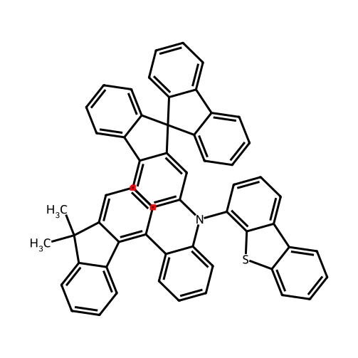 CC1(C)c2ccccc2-c2c(-c3ccccc3N(c3ccc4c(c3)C3(c5ccccc5-c5ccccc53)c3ccccc3-4)c3cccc4c3sc3ccccc34)cccc21